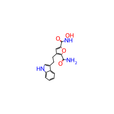 NC(=O)c1oc(C(=O)NO)cc1CCc1c[nH]c2ccccc12